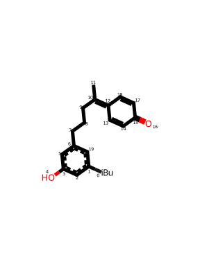 CCC(C)c1cc(O)cc(CCCC(C)=C2C=CC(=O)C=C2)c1